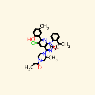 C=CC(=O)N1CCN(c2nc(=O)n(-c3ccccc3C(C)C)c3nc(-c4cc(C)ccc4O)c(Cl)cc23)[C@@H](C)C1